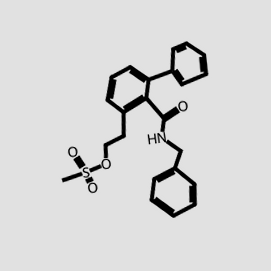 CS(=O)(=O)OCCc1cccc(-c2ccccc2)c1C(=O)NCc1ccccc1